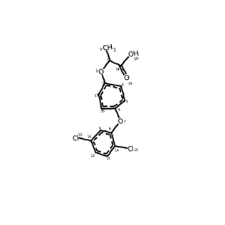 CC(Oc1ccc(Oc2cc(Cl)ccc2Cl)cc1)C(=O)O